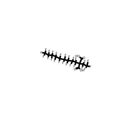 O=C(O)C(C(=O)O)(C(F)(F)C(F)(F)F)C(F)(F)C(F)(F)C(F)(F)C(F)(F)C(F)(F)C(F)(F)C(F)(F)C(F)(F)C(F)(F)F